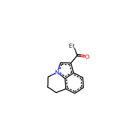 CCC(=O)c1cn2c3c(cccc13)CCC2